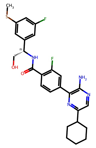 CSc1cc(F)cc([C@@H](CO)NC(=O)c2ccc(-c3nc(C4CCCCC4)cnc3N)cc2F)c1